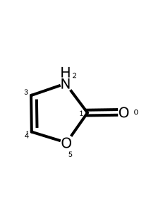 O=c1[nH]c[c]o1